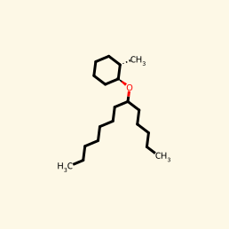 CCCCCCCC(CCCCC)O[C@H]1CCCC[C@@H]1C